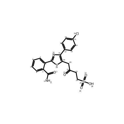 NC(=O)c1ccccc1-c1nc(-c2ccc(Cl)cc2)c(CC(=O)CCS(=O)(=O)O)s1